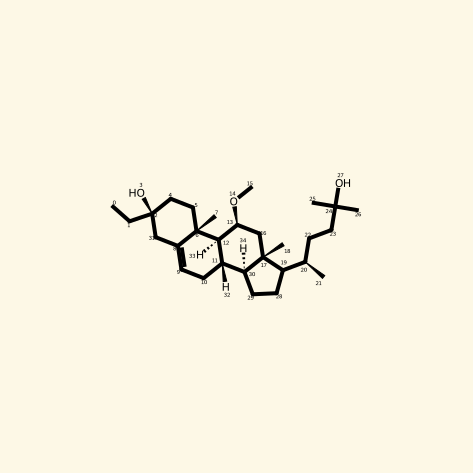 CC[C@]1(O)CC[C@@]2(C)C(=CC[C@@H]3[C@@H]2[C@@H](OC)C[C@]2(C)C([C@H](C)CCC(C)(C)O)CC[C@@H]32)C1